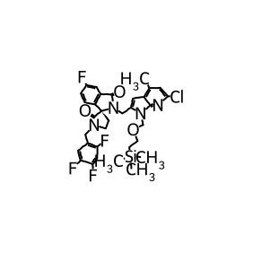 Cc1cc(Cl)nc2c1cc(CN1C(=O)c3cc(F)ccc3[C@]13CCN(Cc1cc(F)c(F)cc1F)C3=O)n2COCC[Si](C)(C)C